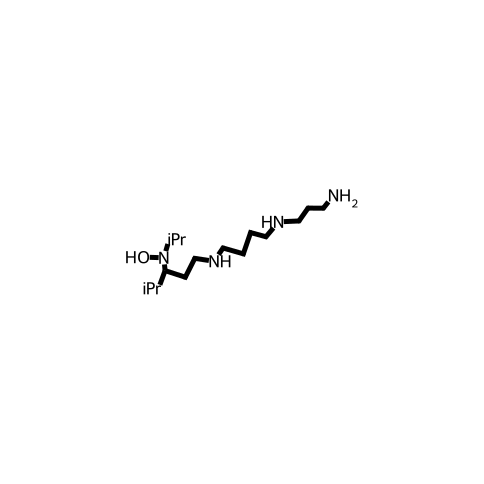 CC(C)C(CCNCCCCNCCCN)N(O)C(C)C